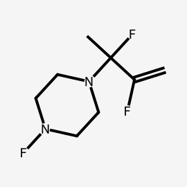 C=C(F)C(C)(F)N1CCN(F)CC1